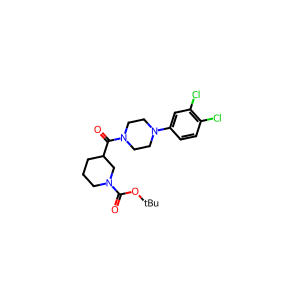 CC(C)(C)OC(=O)N1CCCC(C(=O)N2CCN(c3ccc(Cl)c(Cl)c3)CC2)C1